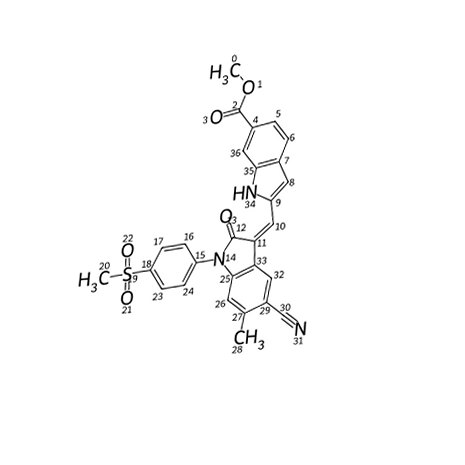 COC(=O)c1ccc2cc(C=C3C(=O)N(c4ccc(S(C)(=O)=O)cc4)c4cc(C)c(C#N)cc43)[nH]c2c1